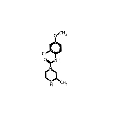 COc1ccc(NC(=O)N2CCNC(C)C2)c(Cl)c1